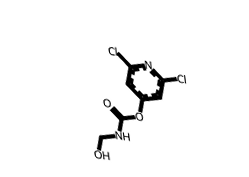 O=C(NCO)Oc1cc(Cl)nc(Cl)c1